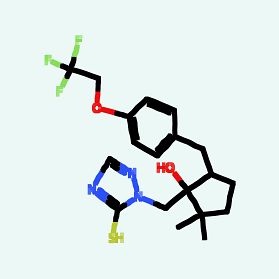 CC1(C)CCC(Cc2ccc(OCC(F)(F)F)cc2)C1(O)Cn1ncnc1S